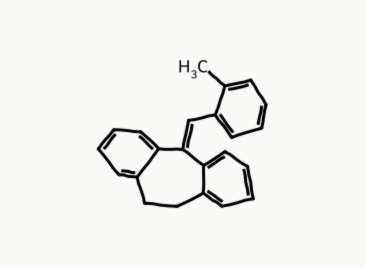 Cc1ccccc1C=C1c2ccccc2CCc2ccccc21